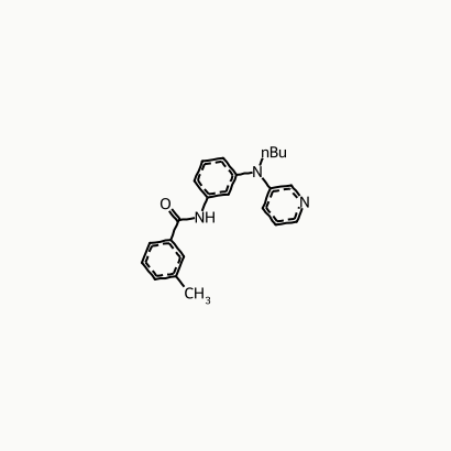 CCCCN(c1cccnc1)c1cccc(NC(=O)c2cccc(C)c2)c1